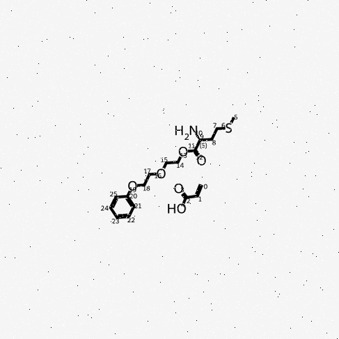 C=CC(=O)O.CSCC[C@H](N)C(=O)OCCOCCOc1ccccc1